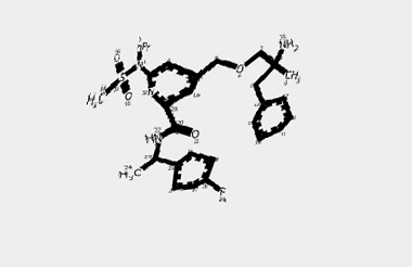 CCCN(c1cc(COCC(C)(N)Cc2ccccc2)cc(C(=O)NC(C)c2ccc(F)cc2)n1)S(C)(=O)=O